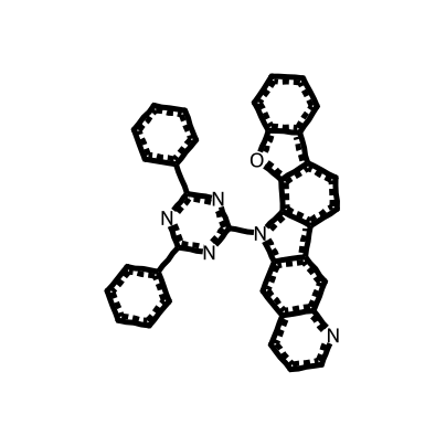 c1ccc(-c2nc(-c3ccccc3)nc(-n3c4cc5cccnc5cc4c4ccc5c6ccccc6oc5c43)n2)cc1